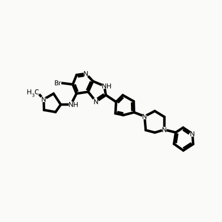 CN1CCC(Nc2c(Br)cnc3[nH]c(-c4ccc(N5CCN(c6cccnc6)CC5)cc4)nc23)C1